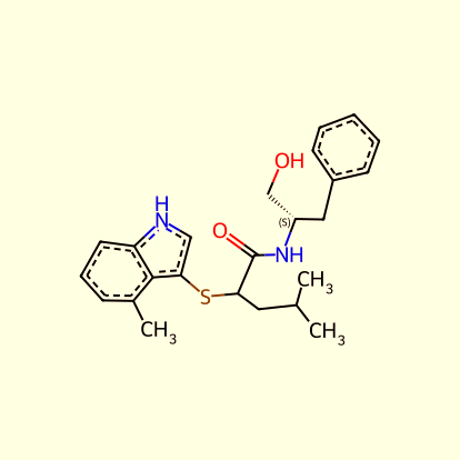 Cc1cccc2[nH]cc(SC(CC(C)C)C(=O)N[C@H](CO)Cc3ccccc3)c12